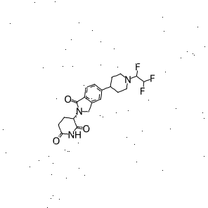 O=C1CCC(N2Cc3cc(C4CCN(C(F)C(F)F)CC4)ccc3C2=O)C(=O)N1